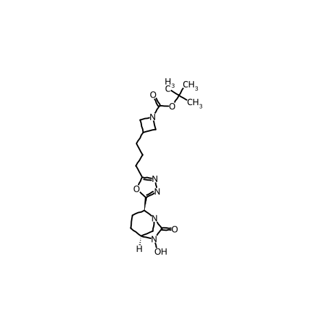 CC(C)(C)OC(=O)N1CC(CCCc2nnc([C@@H]3CC[C@H]4CN3C(=O)N4O)o2)C1